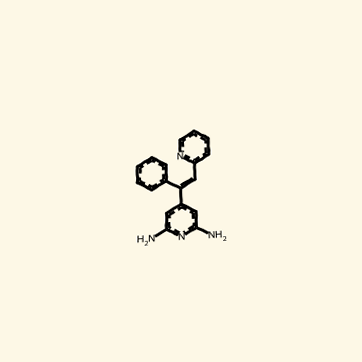 Nc1cc(/C(=C/c2ccccn2)c2ccccc2)cc(N)n1